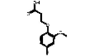 COc1cc(C)ccc1OCCC(=O)O